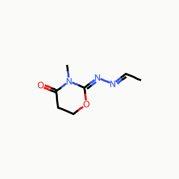 C/C=N/N=C1\OCCC(=O)N1C